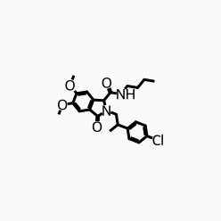 CCCCNC(=O)C1c2cc(OC)c(OC)cc2C(=O)N1CC(C)c1ccc(Cl)cc1